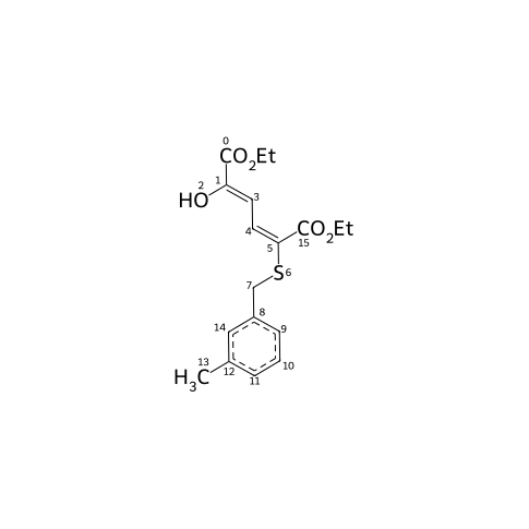 CCOC(=O)C(O)=CC=C(SCc1cccc(C)c1)C(=O)OCC